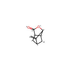 C=C1C2CC3C(=O)OC1C3C2